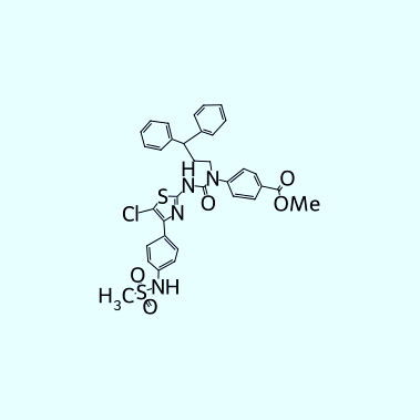 COC(=O)c1ccc(N(CCC(c2ccccc2)c2ccccc2)C(=O)Nc2nc(-c3ccc(NS(C)(=O)=O)cc3)c(Cl)s2)cc1